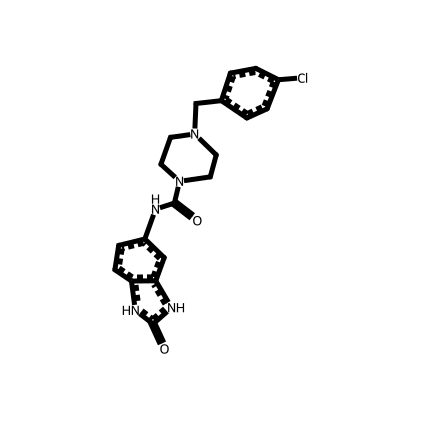 O=C(Nc1ccc2[nH]c(=O)[nH]c2c1)N1CCN(Cc2ccc(Cl)cc2)CC1